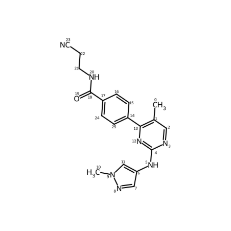 Cc1cnc(Nc2cnn(C)c2)nc1-c1ccc(C(=O)NCCC#N)cc1